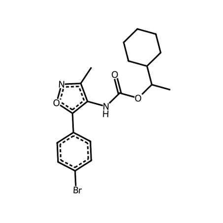 Cc1noc(-c2ccc(Br)cc2)c1NC(=O)OC(C)C1CCCCC1